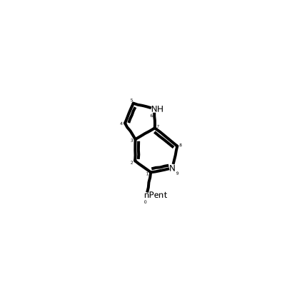 CCCCCc1cc2cc[nH]c2cn1